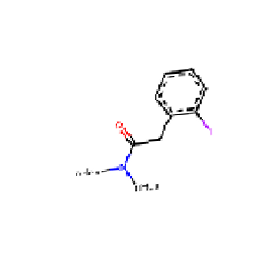 CCCCCCN(CCCCCC)C(=O)Cc1ccccc1I